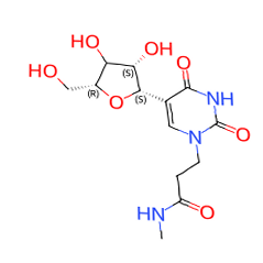 CNC(=O)CCn1cc([C@@H]2O[C@H](CO)C(O)[C@@H]2O)c(=O)[nH]c1=O